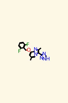 Cc1cc(OCc2c(F)cccc2F)c2nc(C)c(-c3nc[nH]n3)n2c1